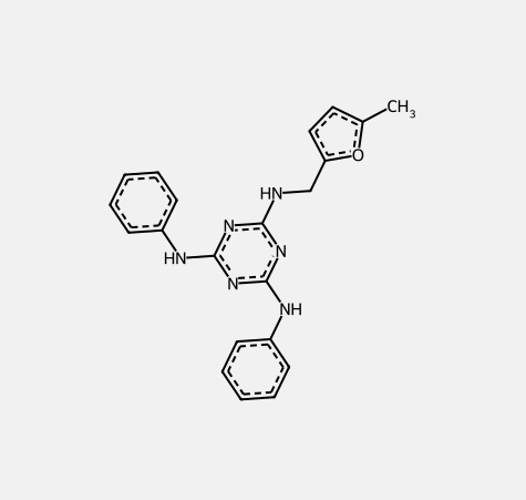 Cc1ccc(CNc2nc(Nc3ccccc3)nc(Nc3ccccc3)n2)o1